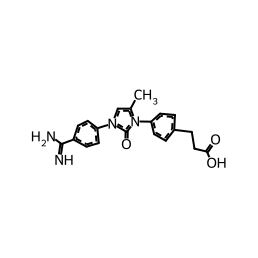 Cc1cn(-c2ccc(C(=N)N)cc2)c(=O)n1-c1ccc(CCC(=O)O)cc1